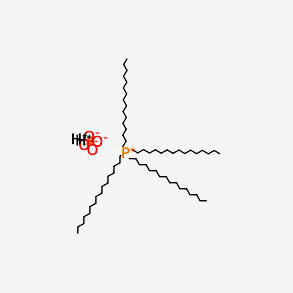 CCCCCCCCCCCCCCCC[P+](CCCCCCCCCCCCCCCC)(CCCCCCCCCCCCCCCC)CCCCCCCCCCCCCCCC.O=P([O-])([O-])[O-].[H+].[H+]